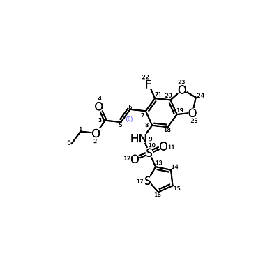 CCOC(=O)/C=C/c1c(NS(=O)(=O)c2cccs2)cc2c(c1F)OCO2